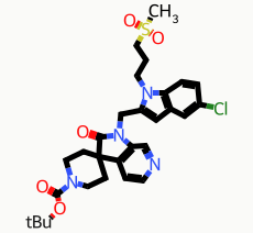 CC(C)(C)OC(=O)N1CCC2(CC1)C(=O)N(Cc1cc3cc(Cl)ccc3n1CCCS(C)(=O)=O)c1cnccc12